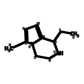 CCC1NCCn2c(C)ccc21